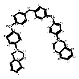 C1=CC2CN(c3ccc(Oc4ccc(Cc5ccc(Oc6ccc(N7COc8ccccc8C7)cc6)cc5)cc4)cc3)COC2C=C1